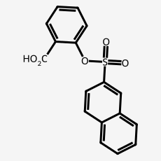 O=C(O)c1ccccc1OS(=O)(=O)c1ccc2ccccc2c1